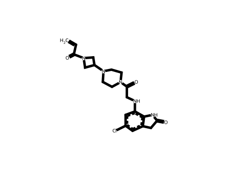 C=CC(=O)N1CC(N2CCN(C(=O)CNc3cc(Cl)cc4c3NC(=O)C4)CC2)C1